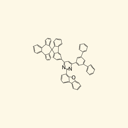 c1ccc(-c2cc(-c3ccccc3)cc(-c3cc(-c4ccc5c(c4)-c4ccccc4C54c5ccccc5-c5ccccc5-c5ccccc54)nc(-c4cccc5c4oc4ccccc45)n3)c2)cc1